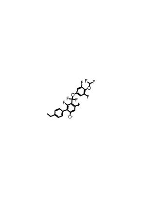 CCc1ccc(-c2c([O])cc(F)c(C(F)(F)Oc3cc(F)c(OC(F)F)c(F)c3)c2F)cc1